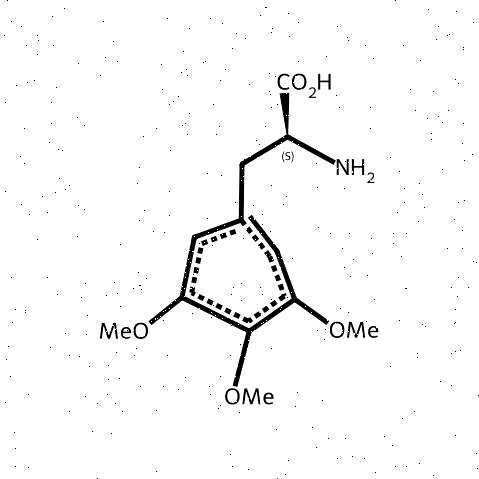 COc1cc(C[C@H](N)C(=O)O)cc(OC)c1OC